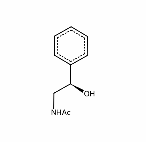 CC(=O)NC[C@H](O)c1ccccc1